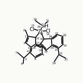 CC1=Cc2c(C(C)C)cccc2[CH]1[Zr]([Cl])([Cl])([CH]1C(C)=Cc2c(C(C)C)cccc21)[SiH](C)C